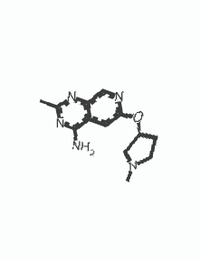 Cc1nc(N)c2cc(O[C@H]3CCN(C)C3)ncc2n1